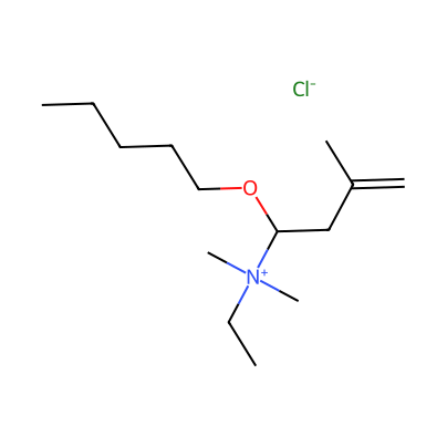 C=C(C)CC(OCCCCC)[N+](C)(C)CC.[Cl-]